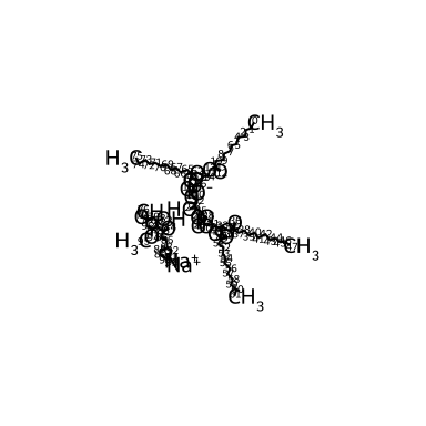 CCCCCCCCCCCC(=O)OCC(COP(=O)([O-])OCC(O)COP(=O)([O-])OCC(COC(=O)CCCCCCCCCCC)OC(=O)CCCCCCCCCCC)OC(=O)CCCCCCCCCCC.COc1cc(O)c(C(=O)C=Cc2ccccc2)c(OC)c1.[Na+].[Na+]